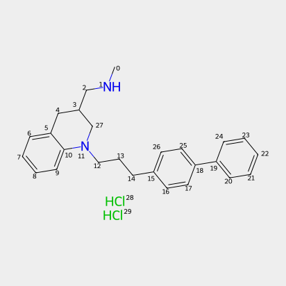 CNCC1Cc2ccccc2N(CCCc2ccc(-c3ccccc3)cc2)C1.Cl.Cl